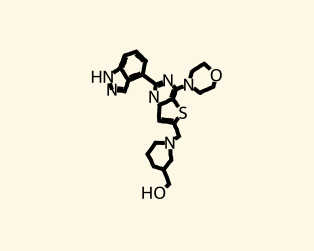 OCC1CCCN(Cc2cc3nc(-c4cccc5[nH]ncc45)nc(N4CCOCC4)c3s2)C1